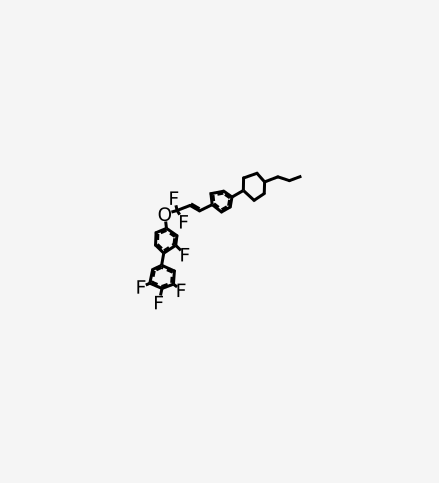 CCCC1CCC(c2ccc(/C=C/C(F)(F)Oc3ccc(-c4cc(F)c(F)c(F)c4)c(F)c3)cc2)CC1